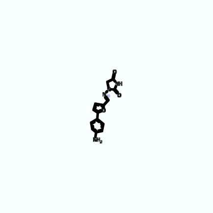 Nc1ccc(-c2ccc(/C=N/N3CC(=O)NC3=O)o2)cc1